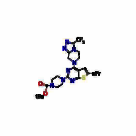 CCCc1cc2c(N3CCn4c(nnc4C(F)(F)F)C3)nc(N3CCN(C(=O)OC(C)(C)C)CC3)nc2s1